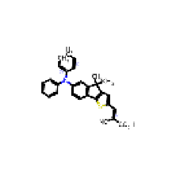 C/C=C\C(=C/C)N(c1ccccc1)c1ccc2c(c1)C(C)(C)c1cc(/C=C(\C#N)C(=O)O)sc1-2